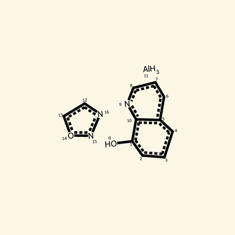 Oc1cccc2cccnc12.[AlH3].c1conn1